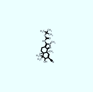 Cn1nc2c(c1NC(=O)OC(C)(C)C)CC[C@H]1C(C)(C)C(O)C(C#N)=C[C@]21C